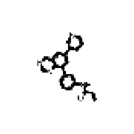 C=CC(=O)Nc1cccc(-c2cc(-c3cccnc3)cc3cncnc23)c1